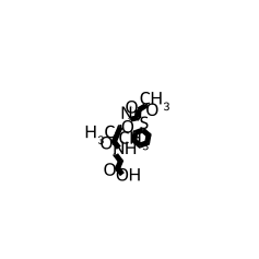 CC(=O)c1onc(OCC(C)(C)C(=O)NCCC(=O)O)c1SC1CCCCC1